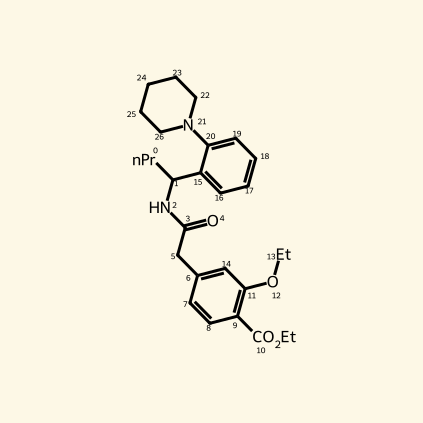 CCCC(NC(=O)Cc1ccc(C(=O)OCC)c(OCC)c1)c1ccccc1N1CCCCC1